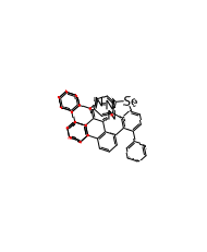 c1ccc(-c2ccccc2-c2c(-c3ccccc3)nnnc2-c2c(-c3ccccc3)cccc2-c2c(-c3ccccc3)ccc3[se]c4ccccc4c23)cc1